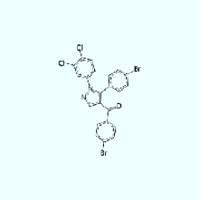 O=C(c1ccc(Br)cc1)c1cnn(-c2ccc(Cl)c(Cl)c2)c1-c1ccc(Br)cc1